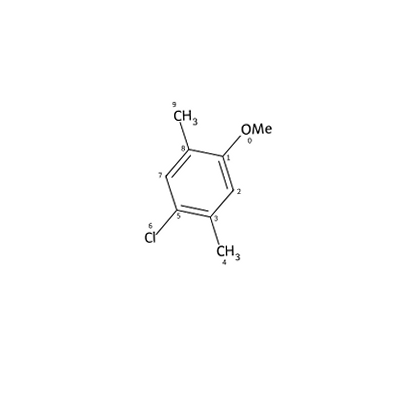 COc1cc(C)c(Cl)cc1C